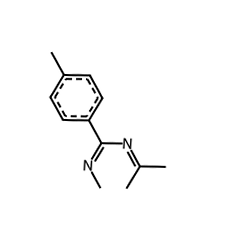 C/N=C(\N=C(C)C)c1ccc(C)cc1